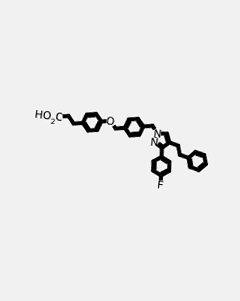 O=C(O)CCc1ccc(OCc2ccc(Cn3cc(CCc4ccccc4)c(-c4ccc(F)cc4)n3)cc2)cc1